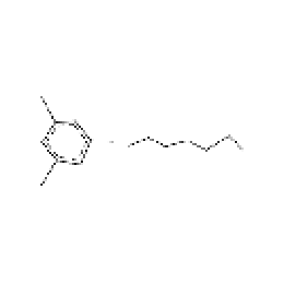 CCCCCCC.Cc1cc(C)cc(C)c1